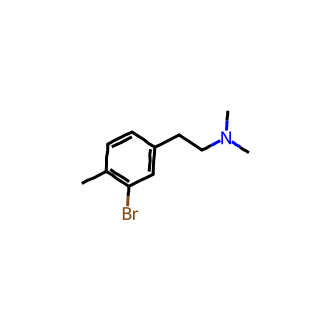 Cc1ccc(CCN(C)C)cc1Br